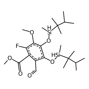 COC(=O)c1c(F)c(OC)c(O[SiH](C)C(C)(C)C(C)C)c(O[SiH](C)C(C)(C)C(C)C)c1C=O